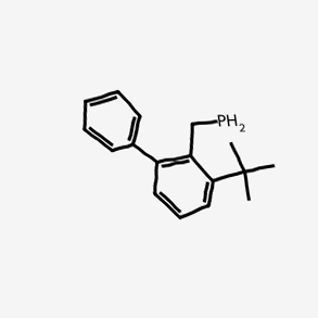 CC(C)(C)c1cccc(-c2ccccc2)c1CP